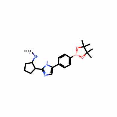 CC1(C)OB(c2ccc(-c3cnc(C4CCCC4NC(=O)O)[nH]3)cc2)OC1(C)C